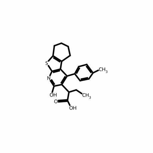 CCC(C(=O)O)c1c(O)nc2sc3c(c2c1-c1ccc(C)cc1)CCCC3